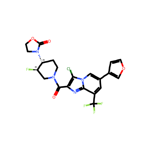 O=C(c1nc2c(C(F)(F)F)cc(-c3ccoc3)cn2c1Cl)N1CC[C@@H](N2CCOC2=O)[C@H](F)C1